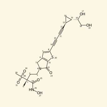 C[C@@](CCN1Cc2cc(C#CC#C[C@H]3C[C@@H]3C(O)CO)sc2C1=O)(C(=O)NO)S(C)(=O)=O